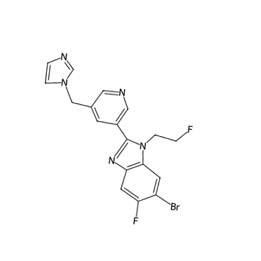 FCCn1c(-c2cncc(Cn3ccnc3)c2)nc2cc(F)c(Br)cc21